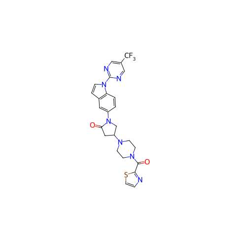 O=C(c1nccs1)N1CCN(C2CC(=O)N(c3ccc4c(ccn4-c4ncc(C(F)(F)F)cn4)c3)C2)CC1